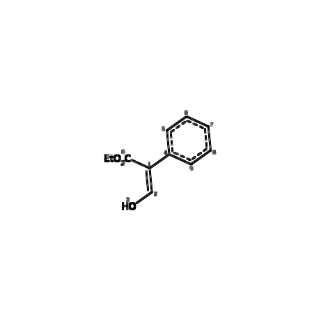 CCOC(=O)C(=CO)c1ccccc1